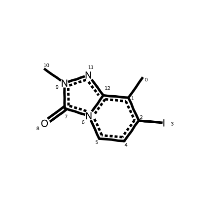 Cc1c(I)ccn2c(=O)n(C)nc12